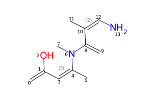 C=C(O)/C=C(/C)N(C)C(=C)/C(C)=C\N